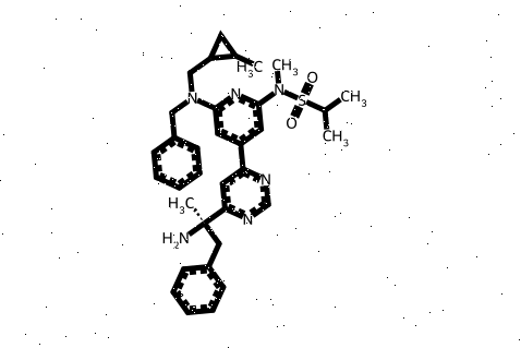 CC1CC1CN(Cc1ccccc1)c1cc(-c2cc([C@](C)(N)Cc3ccccc3)ncn2)cc(N(C)S(=O)(=O)C(C)C)n1